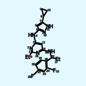 CCc1nc(Nc2cc(C3CC3)[nH]n2)cc(NC(CC)c2ccc(F)cc2F)n1